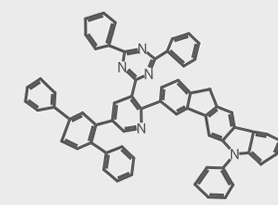 c1ccc(-c2ccc(-c3ccccc3)c(-c3cnc(-c4ccc5c(c4)-c4cc6c(cc4C5)c4ccccc4n6-c4ccccc4)c(-c4nc(-c5ccccc5)nc(-c5ccccc5)n4)c3)c2)cc1